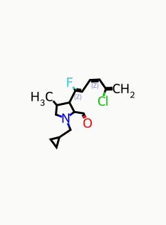 C=C(Cl)/C=C\C=C(/F)C1C(C)CN(CC2CC2)C1C=O